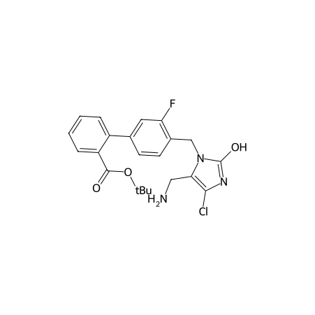 CC(C)(C)OC(=O)c1ccccc1-c1ccc(Cn2c(O)nc(Cl)c2CN)c(F)c1